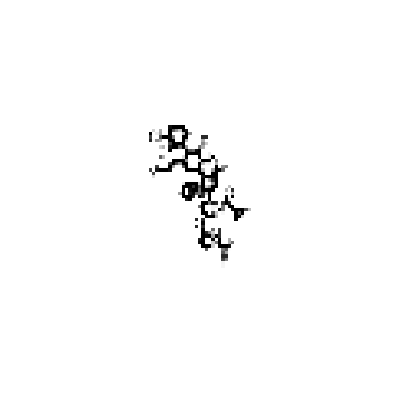 Cc1nc2c(F)c(-c3cccc(Cl)c3Cl)c(CCC#N)cc2c2c1cc(C1CC(Oc3ccn(C(F)F)n3)CN1C(=O)C1CC1)n2C1C2CNC1C2